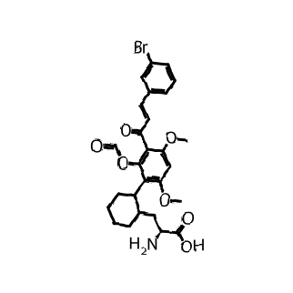 COc1cc(OC)c(C2CCCCC2C[C@H](N)C(=O)O)c(OC=O)c1C(=O)/C=C/c1cccc(Br)c1